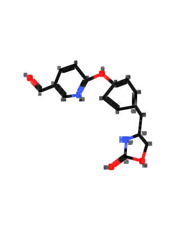 O=Cc1ccc(Oc2ccc(CC3COC(=O)N3)cc2)nc1